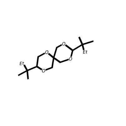 CCC(C)(C)C1COC2(CO1)COC(C(C)(C)CC)OC2